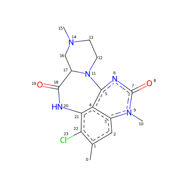 Cc1cc2c3c(nc(=O)n2C)N2CCN(C)CC2C(=O)Nc3c1Cl